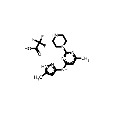 Cc1cc(Nc2cc(C)[nH]n2)nc(N2CCNCC2)n1.O=C(O)C(F)(F)F